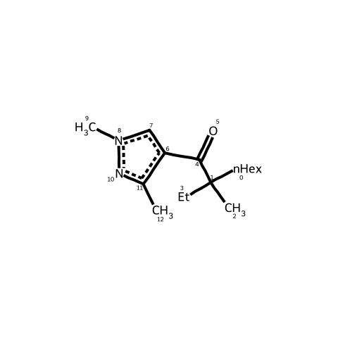 CCCCCCC(C)(CC)C(=O)c1cn(C)nc1C